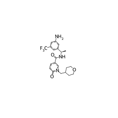 C[C@@H](NC(=O)c1ccc(=O)n(CC2CCOCC2)c1)c1cc(N)cc(C(F)(F)F)c1